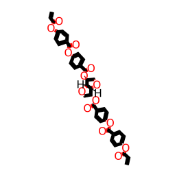 C=CC(=O)Oc1ccc(C(=O)Oc2ccc(C(=O)O[C@@H]3CO[C@@H]4[C@H]3OC[C@H]4OC(=O)c3ccc(OC(=O)c4ccc(OC(=O)C=C)cc4)cc3)cc2)cc1